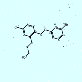 OCCCc1cc(Cl)ccc1COc1cccc(Br)n1